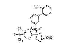 Cc1ccccc1-c1cccc(S(=O)(=O)C2(c3ccc(C(F)(C(F)(F)F)C(F)(F)F)cc3)CCN(C=O)C2)c1